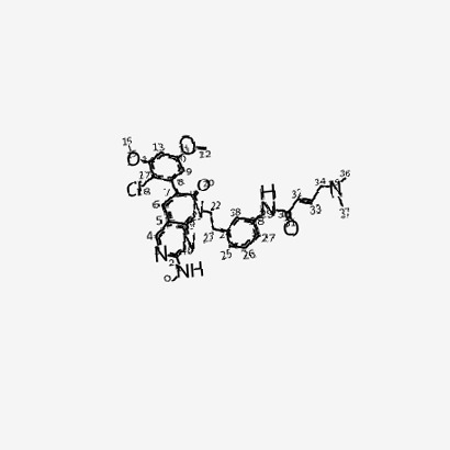 CNc1ncc2cc(-c3cc(OC)cc(OC)c3Cl)c(=O)n(CCc3cccc(NC(=O)/C=C/CN(C)C)c3)c2n1